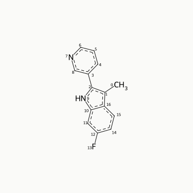 Cc1c(-c2cccnc2)[nH]c2cc(F)ccc12